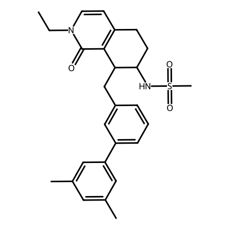 CCn1ccc2c(c1=O)C(Cc1cccc(-c3cc(C)cc(C)c3)c1)C(NS(C)(=O)=O)CC2